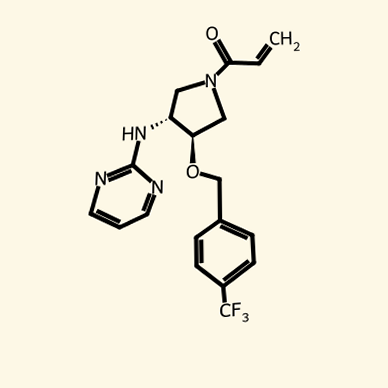 C=CC(=O)N1C[C@@H](Nc2ncccn2)[C@H](OCc2ccc(C(F)(F)F)cc2)C1